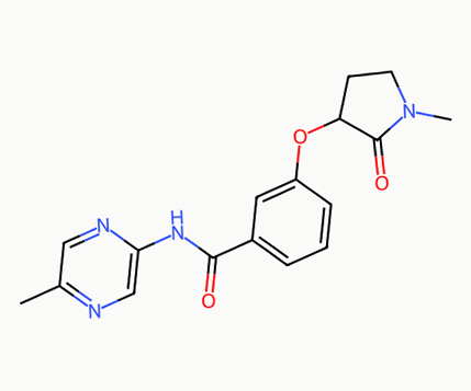 Cc1cnc(NC(=O)c2cccc(OC3CCN(C)C3=O)c2)cn1